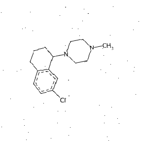 CN1CCN(C2CCCc3ccc(Cl)cc32)CC1